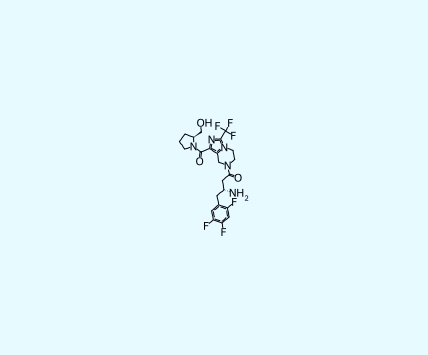 N[C@@H](CC(=O)N1CCn2c(C(F)(F)F)nc(C(=O)N3CCC[C@H]3CO)c2C1)Cc1cc(F)c(F)cc1F